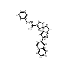 O=C(NCc1cccnc1)N1CCC2(CCn3nc(-c4cnc5ccccc5c4)cc32)C1